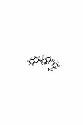 N#Cc1cc(Oc2ccc(NN(C=O)c3ccc4ccccc4c3)c(F)c2)ccn1